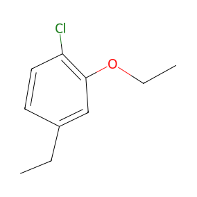 CCOc1cc(CC)ccc1Cl